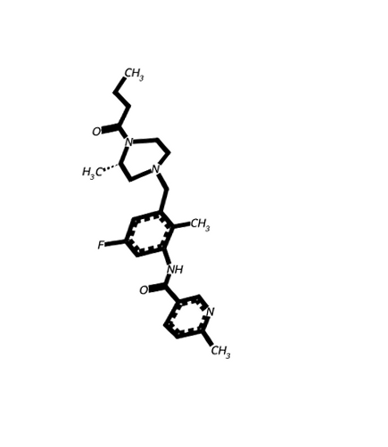 CCCC(=O)N1CCN(Cc2cc(F)cc(NC(=O)c3ccc(C)nc3)c2C)C[C@@H]1C